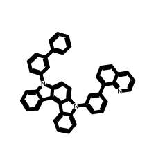 c1ccc(-c2cccc(-n3c4ccccc4c4c5c6ccccc6n(-c6cccc(-c7cccc8cccnc78)c6)c5ccc43)c2)cc1